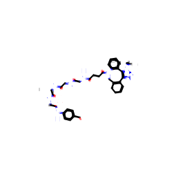 CCC(C)(C)n1nnc2c1-c1ccccc1N(C(=O)CCC(=O)NCC(=O)NCC(=O)N[C@H](C(=O)N[C@@H](C)C(=O)Nc1ccc(CO)cc1)C(C)C)CC1=C2C=CCC1